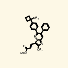 COC(=O)/C=C/c1c(C)nc2cc(-c3ccccc3)c(-c3ccc(C4(N)CCC4)cc3)nn12